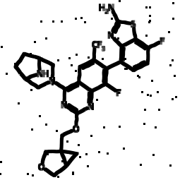 Nc1nc2c(-c3c(C(F)(F)F)cc4c(N5CC6CCC(C5)N6)nc(OCC56COCC5C6)nc4c3F)ccc(F)c2s1